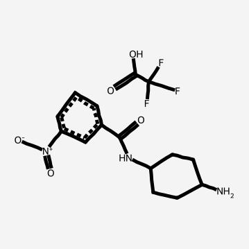 NC1CCC(NC(=O)c2cccc([N+](=O)[O-])c2)CC1.O=C(O)C(F)(F)F